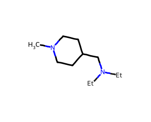 CCN(CC)CC1CCN(C)CC1